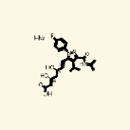 CC(C)NC(=O)c1nn(-c2ccc(F)cc2)c(/C=C/[C@H](O)C[C@@H](O)CC(=O)O)c1C(C)C.[NaH]